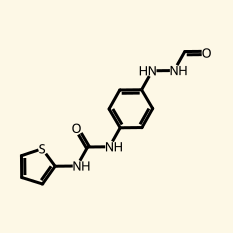 O=CNNc1ccc(NC(=O)Nc2cccs2)cc1